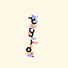 CNS(=O)(=O)c1cccc(OCC(O)CN[C@H]2COC3(CCN(S(=O)(=O)c4cnc5[nH]nc(C)c5c4)CC3)C2)c1